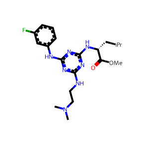 COC(=O)[C@@H](CC(C)C)Nc1nc(NCCN(C)C)nc(Nc2cccc(F)c2)n1